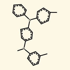 Cc1ccc(N(c2ccccc2)c2ccc(N(C)c3cccc(C)c3)cc2)cc1